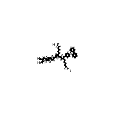 CCCCCCC1=C(c2ccc(-n3c4ccccc4c4ccccc43)cc2)SC(c2sc(-c3cc4sc5cc(/C=C(/C#N)C(=O)O)sc5c4s3)cc2CCCCCC)C1